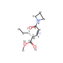 CCC[C@H](/C=C\C(=O)N1CCC1)C(=O)OC